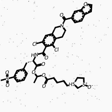 CC(OC(=O)CCCC[SH]1CC[S+]([O-])C1)OC(=O)[C@H](Cc1cccc(S(C)(=O)=O)c1)NC(=O)c1c(Cl)cc2c(c1Cl)CCN(C(=O)c1ccc3ccoc3c1)C2